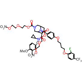 COc1ccc(CN(C(=O)C2=C(c3ccc(OCCCCOc4ccc(C(F)(F)F)cc4F)cc3)CC3CN(C(=O)OCCOCCO[N+](=O)[O-])CC2N3C(=O)OCCOCCO[N+](=O)[O-])C2CC2)cc1C